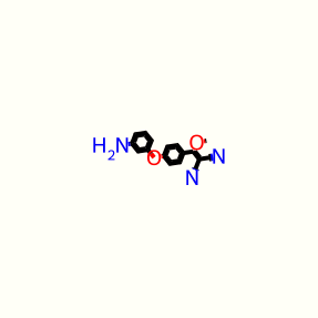 COC(=C(C#N)C#N)c1ccc(Oc2cccc(N)c2)cc1